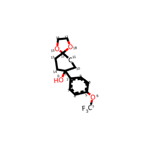 OC1(c2ccc(OC(F)(F)F)cc2)CCC2(CC1)OCCO2